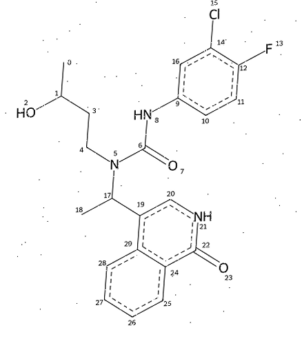 CC(O)CCN(C(=O)Nc1ccc(F)c(Cl)c1)C(C)c1c[nH]c(=O)c2ccccc12